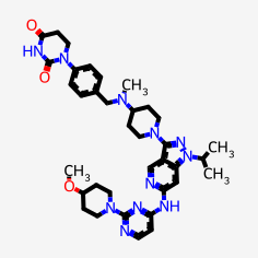 COC1CCN(c2nccc(Nc3cc4c(cn3)c(N3CCC(N(C)Cc5ccc(N6CCC(=O)NC6=O)cc5)CC3)nn4C(C)C)n2)CC1